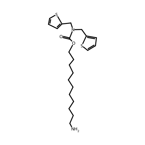 NCCCCCCCCCCCOC(=O)N(Cc1cccs1)Cc1cccs1